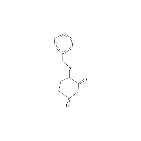 O=C1CCC(SCc2ccccc2)C(=O)C1